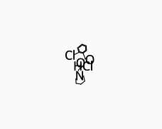 Cl.O=C(OCCN1CCCCC1)c1ccccc1Cl